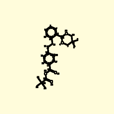 CC1(C)COB(c2ccccc2CSc2ccc(C(=O)OC(=O)C(C)(C)C)cn2)OC1